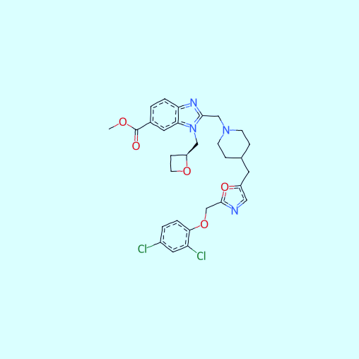 COC(=O)c1ccc2nc(CN3CCC(Cc4cnc(COc5ccc(Cl)cc5Cl)o4)CC3)n(C[C@@H]3CCO3)c2c1